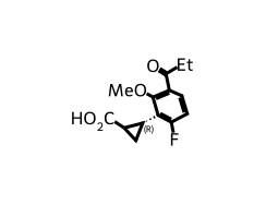 CCC(=O)c1ccc(F)c([C@@H]2CC2C(=O)O)c1OC